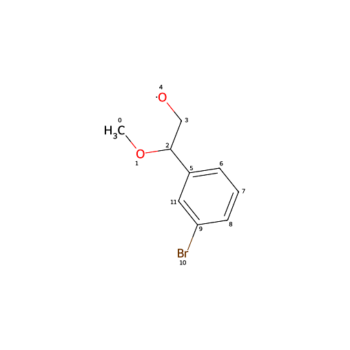 COC(C[O])c1cccc(Br)c1